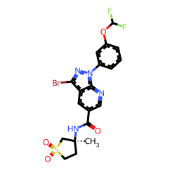 C[C@]1(NC(=O)c2cnc3c(c2)c(Br)nn3-c2cccc(OC(F)F)c2)CCS(=O)(=O)C1